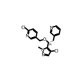 Cn1ncc(Cl)c1[C@@H](Cc1cccnc1)OCc1ccc(Cl)nc1